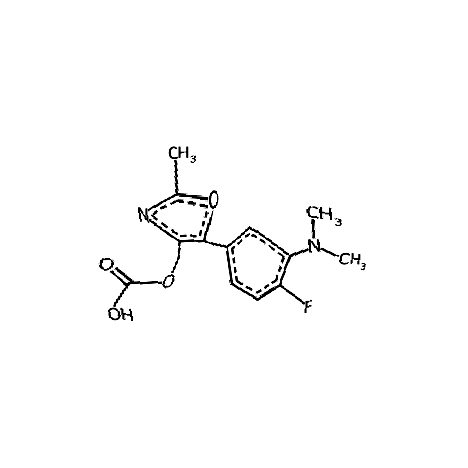 Cc1nc(OC(=O)O)c(-c2ccc(F)c(N(C)C)c2)o1